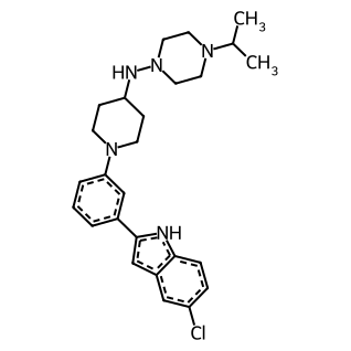 CC(C)N1CCN(NC2CCN(c3cccc(-c4cc5cc(Cl)ccc5[nH]4)c3)CC2)CC1